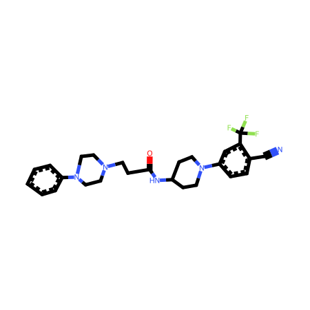 N#Cc1ccc(N2CCC(NC(=O)CCN3CCN(c4ccccc4)CC3)CC2)cc1C(F)(F)F